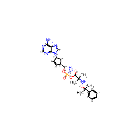 CC(C)(NOC(C)(C)c1ccccc1)C(=O)OP(N)(=O)OC[C@H]1C=C[C@@H](n2cnc3c(N)ncnc32)C1